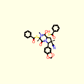 CN1C(O)[C@@]2(SC(=O)c3ccccc3)C[C@](C)(C#N)C(c3ccc4c(c3)OCO4)N2C(=O)[C@]1(C)SC(=O)c1ccccc1